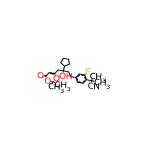 CC1(C)OC(=O)C=C(CC(O)(CCc2ccc(C(C)(C)C#N)c(F)c2)C2CCCC2)O1